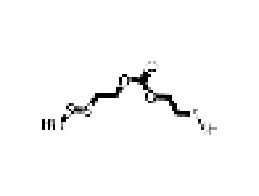 CC(C)(C)SSCCOC(=O)OCCSS